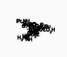 CC[C@H](C)[C@H](NC(=O)[C@H](Cc1ccccc1)NC(=O)[C@H](CC(=O)O)NC(=O)[C@H](CCCNC(=N)N)NC(=O)[C@H](C)NC(=O)[C@H](C)NC(=O)[C@@H](N)CC(C)C)C(=O)O